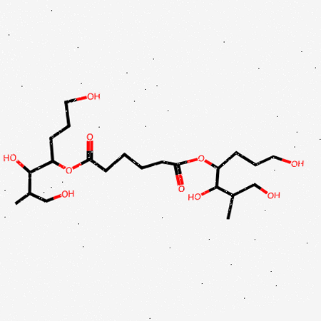 CC(CO)C(O)C(CCCO)OC(=O)CCCCC(=O)OC(CCCO)C(O)C(C)CO